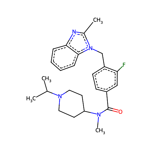 Cc1nc2ccccc2n1Cc1ccc(C(=O)N(C)C2CCN(C(C)C)CC2)cc1F